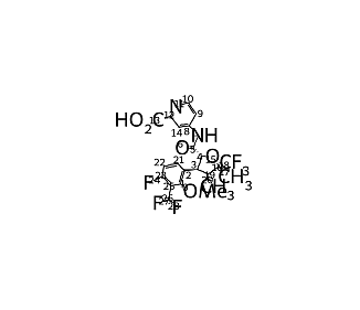 COc1c([C@H]2[C@H](C(=O)Nc3ccnc(C(=O)O)c3)O[C@@](C)(C(F)(F)F)[C@H]2C)ccc(F)c1C(F)F